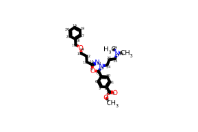 COC(=O)c1ccc(C2OC(CCCOCc3ccccc3)=NN2CCCN(C)C)cc1